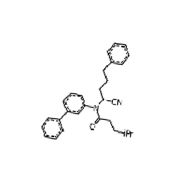 CC(C)CCC(=O)N(c1cccc(-c2ccccc2)c1)C(C#N)CCCc1ccccc1